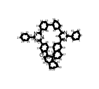 c1ccc(-c2nc(-c3cccc(-c4cccc(-c5nc(-c6ccccc6)nc(-c6ccc7c(c6)oc6cc8ccccc8cc67)n5)c4)c3)cc(-c3ccc4ccccc4c3)n2)cc1